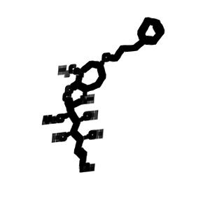 CO[C@@H](C(=O)N[C@H]1CC[C@@H](OCCCc2ccccc2)CN(C)C1=O)[C@H](O)[C@@H](O)[C@H](O)/C=C/C(C)(C)C